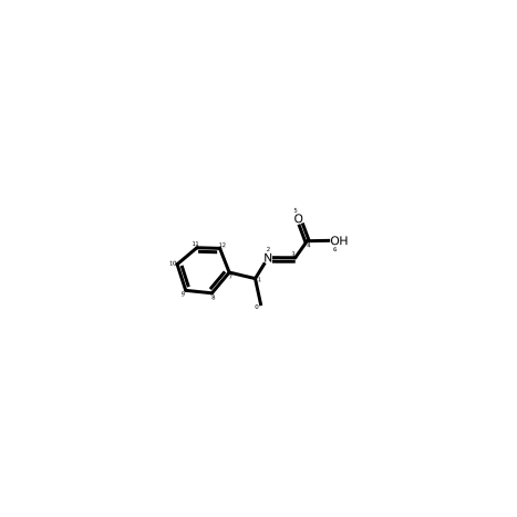 CC(N=CC(=O)O)c1ccccc1